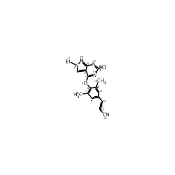 CCn1cc2c(Oc3c(C)cc(/C=C/C#N)cc3C)nc(Cl)nc2n1